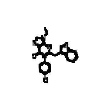 CCn1cnc2c(=O)n(-c3ccc(Cl)cc3)c(Cc3csc4ccccc34)nc21